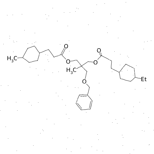 CCC1CCC(CCC(=O)OCC(C)(COCc2ccccc2)COC(=O)CCC2CCC(C)CC2)CC1